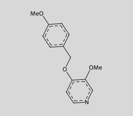 COc1ccc(COc2ccncc2OC)cc1